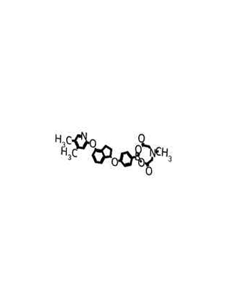 Cc1cnc(Oc2cccc3c2CC[C@H]3Oc2ccc(B3OC(=O)CN(C)CC(=O)O3)cc2)cc1C